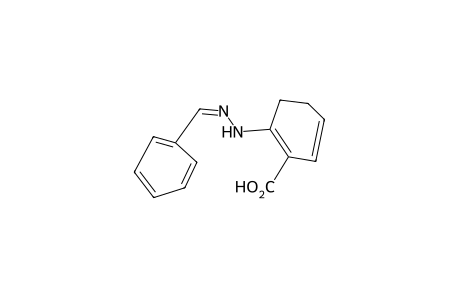 O=C(O)C1=C(N/N=C\c2ccccc2)CCC=C1